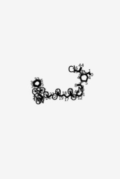 C=C[C@]1(C)CC[C@@H](C(=C)CN2CC[C@H](OC(=O)CCCC(=O)OCCOc3nonc3S(=O)(=O)c3ccccc3)C2)C[C@H]1C(=C)CCl